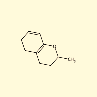 CC1CCC2=C(C=CCC2)O1